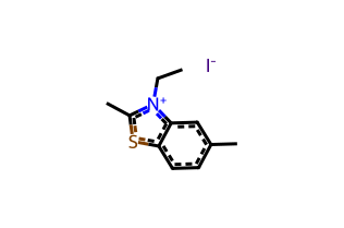 CC[n+]1c(C)sc2ccc(C)cc21.[I-]